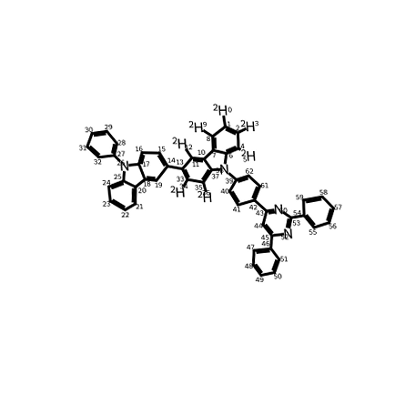 [2H]c1c([2H])c([2H])c2c(c1[2H])c1c([2H])c(-c3ccc4c(c3)c3ccccc3n4-c3ccccc3)c([2H])c([2H])c1n2-c1ccc(-c2cc(-c3ccccc3)nc(-c3ccccc3)n2)cc1